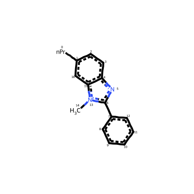 CCCc1ccc2nc(-c3ccccc3)n(C)c2c1